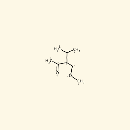 COCC(C(C)=O)C(C)C